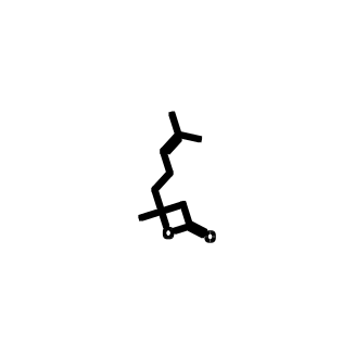 CC(C)=CCCC1(C)CC(=O)O1